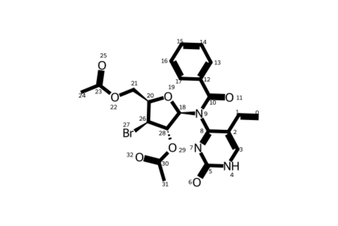 C=Cc1c[nH]c(=O)nc1N(C(=O)c1ccccc1)[C@@H]1O[C@H](COC(C)=O)[C@H](Br)[C@H]1OC(C)=O